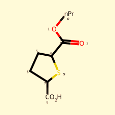 CCCOC(=O)C1CCC(C(=O)O)S1